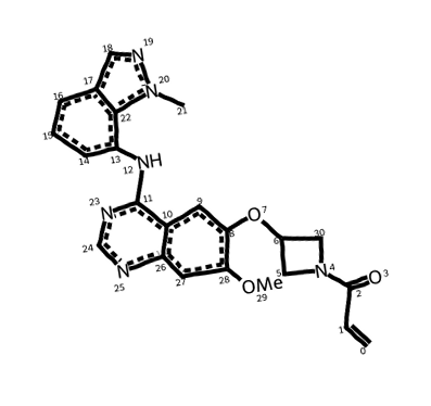 C=CC(=O)N1CC(Oc2cc3c(Nc4cccc5cnn(C)c45)ncnc3cc2OC)C1